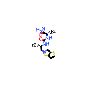 CC(C)(C)[C@H](NC(=O)N[C@H](CN1CC2SC=CC2S1)C(C)(C)C)C(N)=O